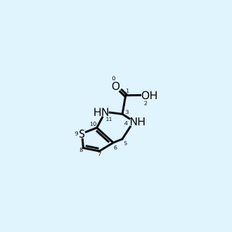 O=C(O)C1NCc2ccsc2N1